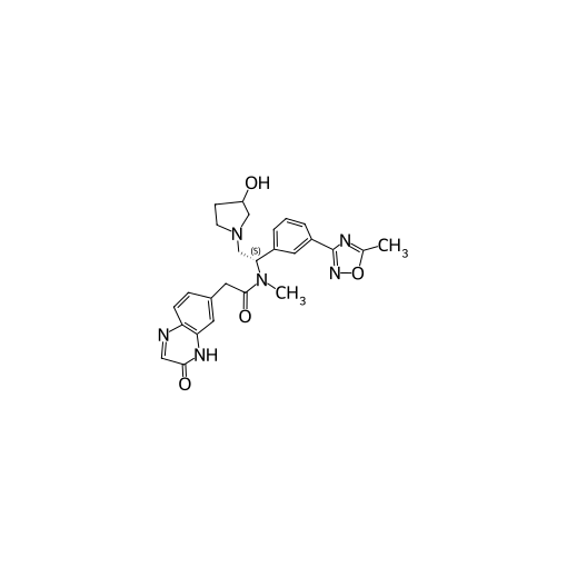 Cc1nc(-c2cccc([C@@H](CN3CCC(O)C3)N(C)C(=O)Cc3ccc4ncc(=O)[nH]c4c3)c2)no1